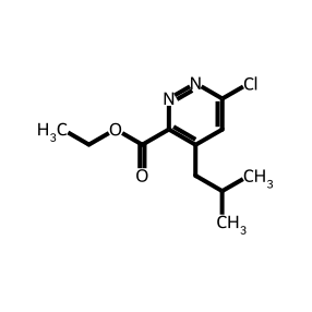 CCOC(=O)c1nnc(Cl)cc1CC(C)C